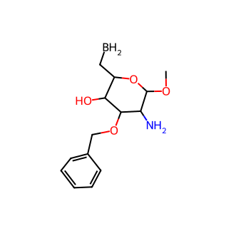 BCC1OC(OC)C(N)C(OCc2ccccc2)C1O